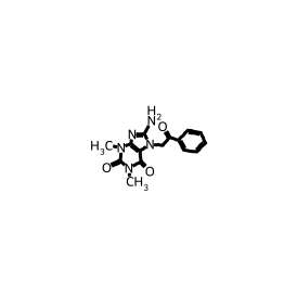 Cn1c(=O)c2c(nc(N)n2CC(=O)c2ccccc2)n(C)c1=O